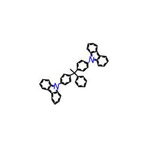 CC(c1ccccc1)(c1ccc(-n2c3ccccc3c3ccccc32)cc1)c1ccc(-n2c3ccccc3c3ccccc32)cc1